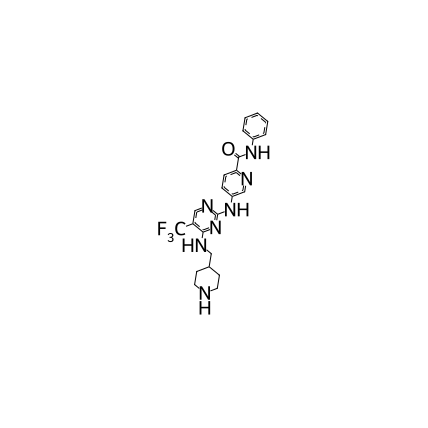 O=C(Nc1ccccc1)c1ccc(Nc2ncc(C(F)(F)F)c(NCC3CCNCC3)n2)cn1